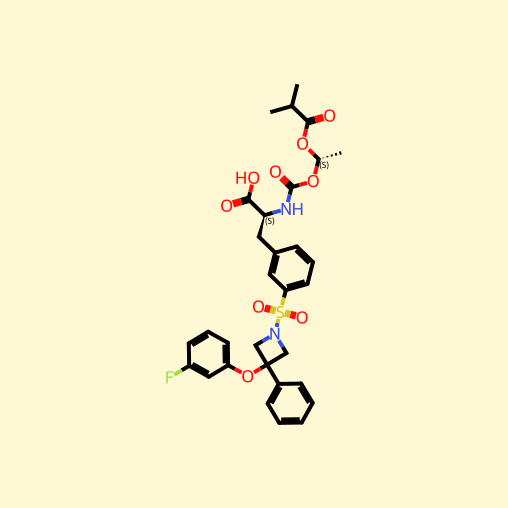 CC(C)C(=O)O[C@H](C)OC(=O)N[C@@H](Cc1cccc(S(=O)(=O)N2CC(Oc3cccc(F)c3)(c3ccccc3)C2)c1)C(=O)O